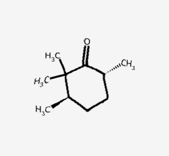 C[C@@H]1CC[C@@H](C)C(C)(C)C1=O